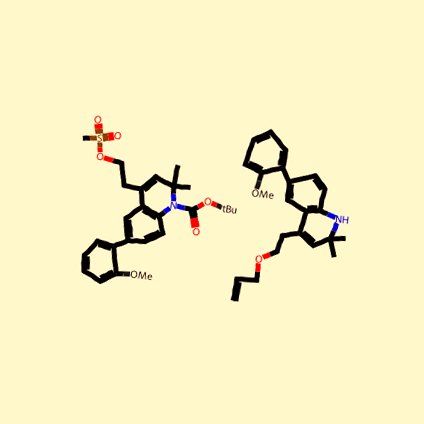 C=CCOCCC1=CC(C)(C)Nc2ccc(-c3ccccc3OC)cc21.COc1ccccc1-c1ccc2c(c1)C(CCOS(C)(=O)=O)=CC(C)(C)N2C(=O)OC(C)(C)C